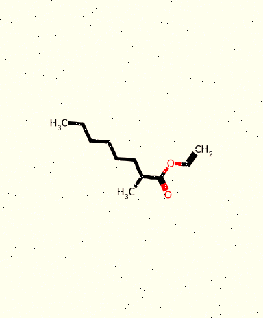 C=COC(=O)C(C)CCCCCC